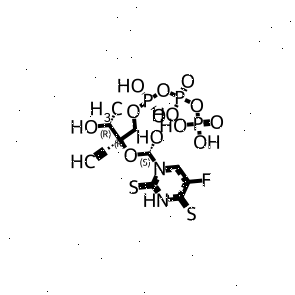 C#C[C@](COP(=O)(O)OP(=O)(O)OP(=O)(O)O)(O[C@H](O)n1cc(F)c(=S)[nH]c1=S)[C@@H](C)O